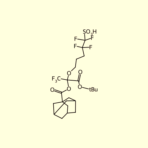 CC(C)(C)OC(=O)C(OCCCC(F)(F)C(F)(F)S(=O)(=O)O)(OC(=O)C12CC3CC(CC(C3)C1)C2)C(F)(F)F